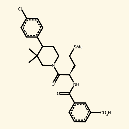 CSCC[C@@H](NC(=O)c1cccc(C(=O)O)c1)C(=O)N1CCC(c2ccc(Cl)cc2)C(C)(C)C1